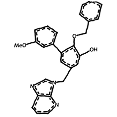 COc1cccc(-c2cc(Cn3cnc4cccnc43)cc(O)c2OCc2ccccc2)c1